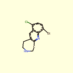 CCc1ccc(Cl)c2cc3c(nc12)CCNCC3